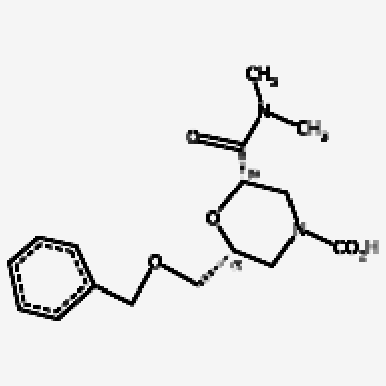 CN(C)C(=O)[C@@H]1CN(C(=O)O)C[C@H](COCc2ccccc2)O1